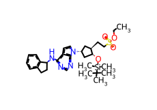 CCOS(=O)(=O)CC[C@@H]1C[C@@H](n2ccc3c(N[C@H]4CCc5ccccc54)ncnc32)C[C@H]1O[Si](C)(C)C(C)(C)C